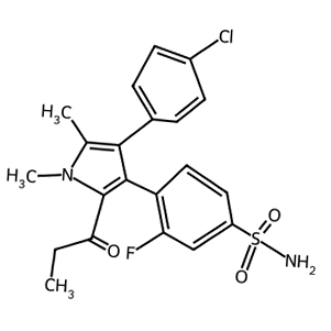 CCC(=O)c1c(-c2ccc(S(N)(=O)=O)cc2F)c(-c2ccc(Cl)cc2)c(C)n1C